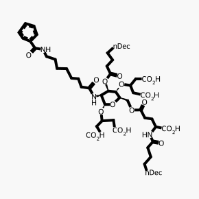 CCCCCCCCCCCCCC(=O)NC(CCC(=O)OC[C@H]1O[C@H](OC(CC(=O)O)CC(=O)O)[C@@H](NC(=O)CCCCCCCNC(=O)c2ccccc2)[C@@H](OC(=O)CCCCCCCCCCCCC)[C@@H]1OC(CC(=O)O)CC(=O)O)C(=O)O